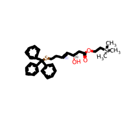 C[Si](C)(C)CCOC(=O)C[C@H](O)/C=C/CCSC(c1ccccc1)(c1ccccc1)c1ccccc1